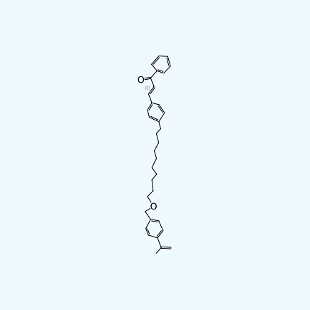 C=C(C)c1ccc(COCCCCCCCCCCc2ccc(/C=C/C(=O)c3ccccc3)cc2)cc1